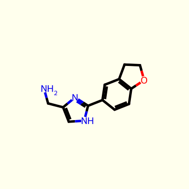 NCc1c[nH]c(-c2ccc3c(c2)CCO3)n1